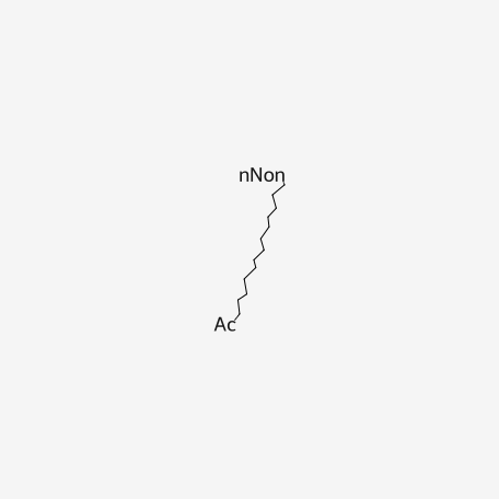 CCCCCCCCCCCCCCCCCCCCCCC(C)=O